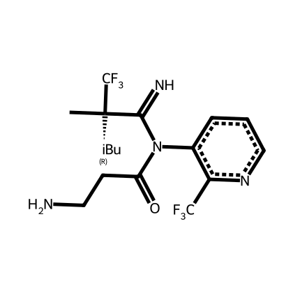 CC[C@@H](C)C(C)(C(=N)N(C(=O)CCN)c1cccnc1C(F)(F)F)C(F)(F)F